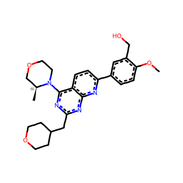 COc1ccc(-c2ccc3c(N4CCOC[C@@H]4C)nc(CC4CCOCC4)nc3n2)cc1CO